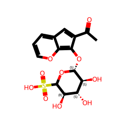 CC(=O)c1cc2cccoc-2c1O[C@H]1OC(S(=O)(=O)O)[C@H](O)[C@@H](O)[C@@H]1O